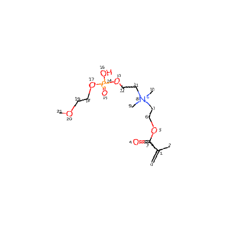 C=C(C)C(=O)OCC[N+](C)(C)CCOP(=O)(O)OCCOC